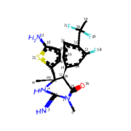 CN1C(=N)N[C@](C)(c2ccc(N)s2)[C@@H](c2ccc(C(C)(F)F)c(F)c2)C1=O